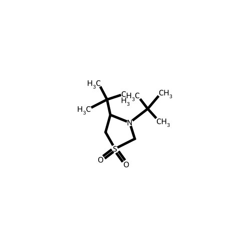 CC(C)(C)C1CS(=O)(=O)CN1C(C)(C)C